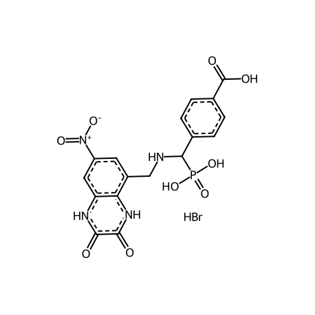 Br.O=C(O)c1ccc(C(NCc2cc([N+](=O)[O-])cc3[nH]c(=O)c(=O)[nH]c23)P(=O)(O)O)cc1